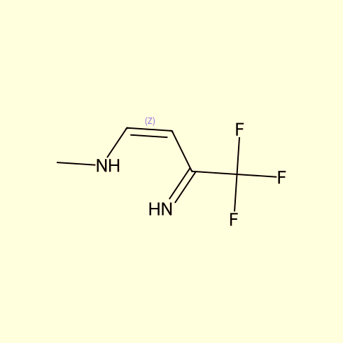 CN/C=C\C(=N)C(F)(F)F